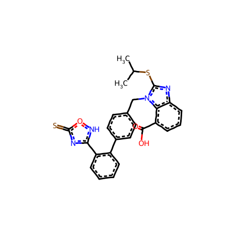 CC(C)Sc1nc2cccc(C(=O)O)c2n1Cc1ccc(-c2ccccc2-c2nc(=S)o[nH]2)cc1